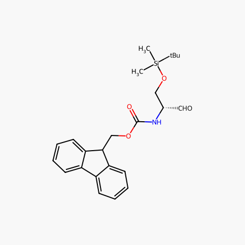 CC(C)(C)[Si](C)(C)OC[C@H](C=O)NC(=O)OCC1c2ccccc2-c2ccccc21